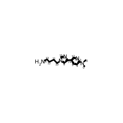 CN(C)c1ccc(-c2cn(CCCCN)cn2)cn1